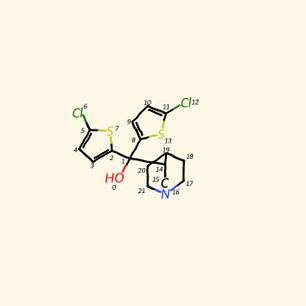 OC(c1ccc(Cl)s1)(c1ccc(Cl)s1)C1CN2CCC1CC2